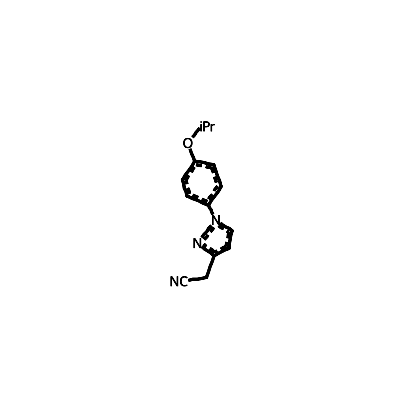 CC(C)Oc1ccc(-n2ccc(CC#N)n2)cc1